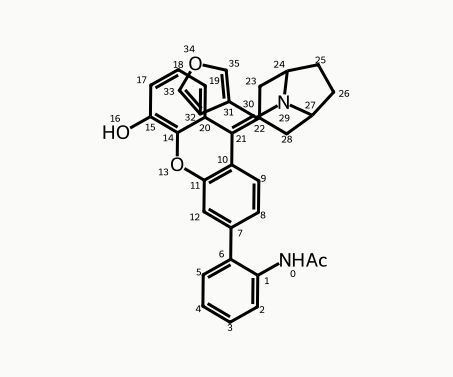 CC(=O)Nc1ccccc1-c1ccc2c(c1)Oc1c(O)cccc1C2=C1CC2CCC(C1)N2Cc1ccoc1